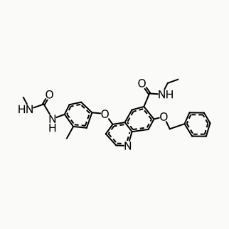 CCNC(=O)c1cc2c(Oc3ccc(NC(=O)NC)c(C)c3)ccnc2cc1OCc1ccccc1